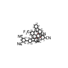 N#Cc1cc(C#N)cc(-c2ccc3c4ccccc4n(-c4cc(C(F)(F)F)cc(-n5c6ccccc6c6ccc(-c7cc(C#N)cc(C#N)c7)cc65)c4-c4cccc(C#N)c4)c3c2)c1